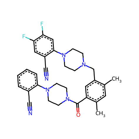 Cc1cc(C)c(C(=O)N2CCN(c3ccccc3C#N)CC2)cc1CN1CCN(c2cc(F)c(F)cc2C#N)CC1